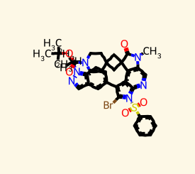 [2H]C([2H])([2H])n1ncc2cc(-c3c(Br)n(S(=O)(=O)c4ccccc4)c4ncc5c(c34)C3(CC4(CCN(C(=O)OC(C)(C)C)CC4)C3)C(=O)N5C)ccc21